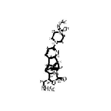 CC(=O)N=S1(=O)CCN(c2ccc3c(n2)C2=C(F)/C3=C3\C=C2N2C(=O)O[C@@H](CNC(C)=O)C32)CC1